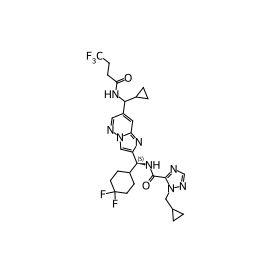 O=C(CCC(F)(F)F)NC(c1cnn2cc([C@@H](NC(=O)c3ncnn3CC3CC3)C3CCC(F)(F)CC3)nc2c1)C1CC1